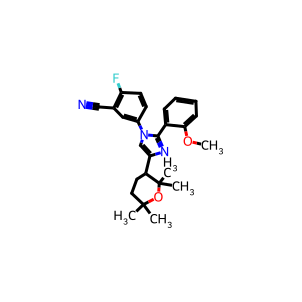 COc1ccccc1-c1nc(C2CCC(C)(C)OC2(C)C)cn1-c1ccc(F)c(C#N)c1